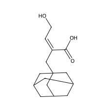 O=C(O)C(=CCO)CC12CC3CC(CC(C3)C1)C2